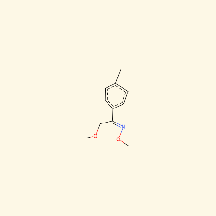 COC/C(=N\OC)c1ccc(C)cc1